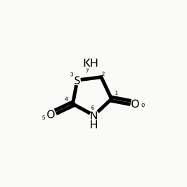 O=C1CSC(=O)N1.[KH]